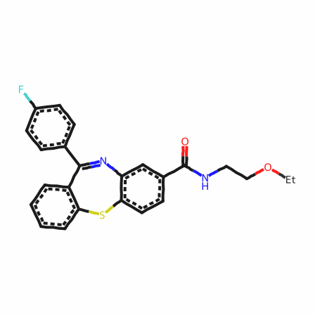 CCOCCNC(=O)c1ccc2c(c1)N=C(c1ccc(F)cc1)c1ccccc1S2